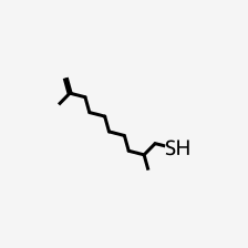 C=C(C)CCCCCCC(C)CS